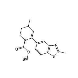 Cc1nc2cc(C3=CC(C)CCN3C(=O)OC(C)(C)C)ccc2s1